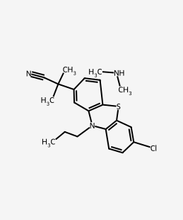 CCCN1c2ccc(Cl)cc2Sc2ccc(C(C)(C)C#N)cc21.CNC